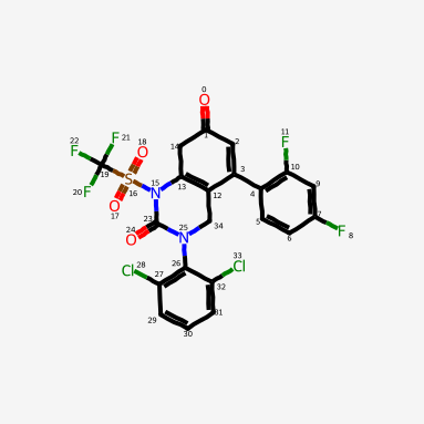 O=C1C=C(c2ccc(F)cc2F)C2=C(C1)N(S(=O)(=O)C(F)(F)F)C(=O)N(c1c(Cl)cccc1Cl)C2